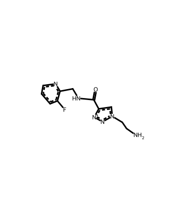 NCCn1cc(C(=O)NCc2ncccc2F)nn1